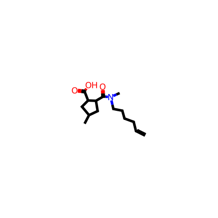 C=CCCCCN(C)C(=O)C1CC(C)CC1C(=O)O